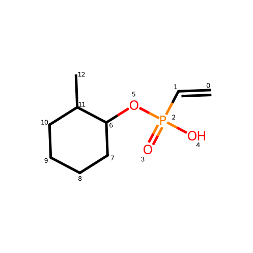 C=CP(=O)(O)OC1CCCCC1C